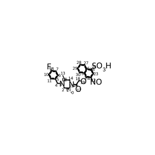 C[C@@H]1CN(Cc2ccc(F)cc2)[C@@H](C)CN1C(=O)COc1c(N=O)cc(S(=O)(=O)O)c2ccccc12